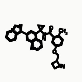 Cc1ccc(OCC2CCN2)cc1C(=O)NC1(c2cc(-c3ncn4ccccc34)cc3ncccc23)CC1